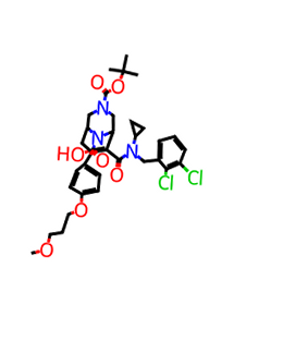 COCCCOc1ccc(C2=C(C(=O)N(Cc3cccc(Cl)c3Cl)C3CC3)C3CN(C(=O)OC(C)(C)C)CC(C2)N3C(=O)O)cc1